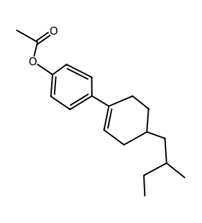 CCC(C)CC1CC=C(c2ccc(OC(C)=O)cc2)CC1